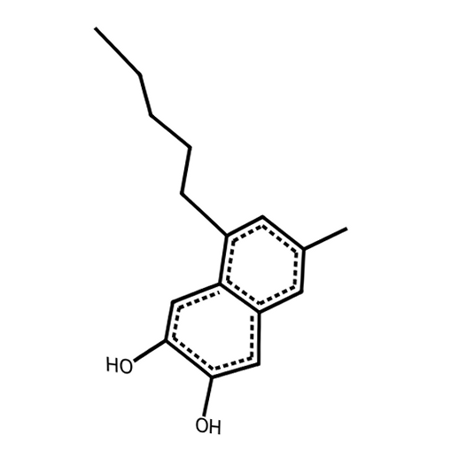 CCCCCc1cc(C)cc2cc(O)c(O)cc12